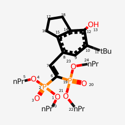 CCCOP(=O)(OCCC)C(=Cc1cc(C(C)(C)C)c(O)c2c1CCC2)P(=O)(OCCC)OCCC